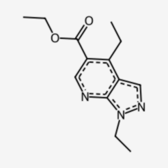 CCOC(=O)c1cnc2c(cnn2CC)c1CC